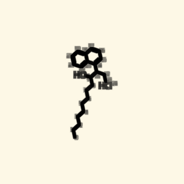 CCCCCCCCCC(O)C(CC)c1cccc2ccccc12.Cl